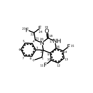 CCC1(c2ccccc2)c2c(F)ccc(F)c2NC(=O)N1CC(F)F